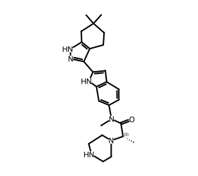 C[C@@H](C(=O)N(C)c1ccc2cc(-c3n[nH]c4c3CCC(C)(C)C4)[nH]c2c1)N1CCNCC1